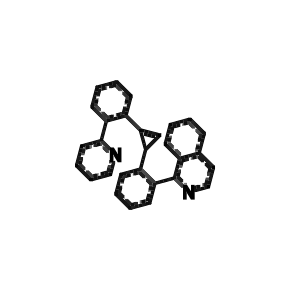 C1=C(c2ccccc2-c2ccccn2)C1c1ccccc1-c1nccc2ccccc12